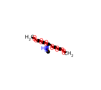 C=CC(=O)OCOc1ccc(C(=O)Oc2ccc(C(=O)OCCc3ccc(OC(=O)c4ccc(OC(=O)c5ccc(OCOC(=O)C=C)cc5)cc4)c(/C=N/Nc4nc5ccccc5s4)c3)cc2)cc1